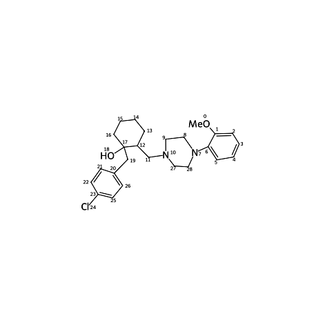 COc1ccccc1N1CCN(CC2CCCCC2(O)Cc2ccc(Cl)cc2)CC1